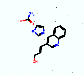 NC(=O)O.OC/C=C/c1cnc2ccccc2c1.c1c[nH]cn1